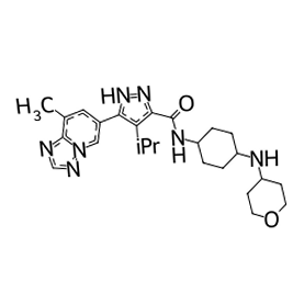 Cc1cc(-c2[nH]nc(C(=O)NC3CCC(NC4CCOCC4)CC3)c2C(C)C)cn2ncnc12